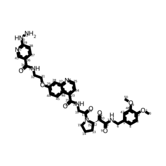 COc1ccc(CNC(=O)C(=O)[C@@H]2CCCN2C(=O)CNC(=O)c2ccnc3cc(OCCNC(=O)c4ccc(NN)nc4)ccc23)cc1OC